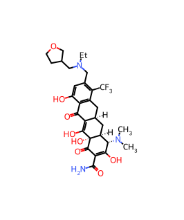 CCN(Cc1cc(O)c2c(c1C(F)(F)F)C[C@H]1C[C@H]3[C@H](N(C)C)C(O)=C(C(N)=O)C(=O)[C@@]3(O)C(O)=C1C2=O)CC1CCOC1